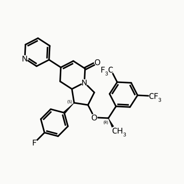 C[C@@H](OC1CN2C(=O)C=C(c3cccnc3)CC2[C@@H]1c1ccc(F)cc1)c1cc(C(F)(F)F)cc(C(F)(F)F)c1